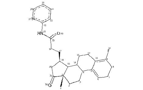 C[C@]12CCC3C4=CCCC(F)=C4CCC3C1[C@H](CCC(=O)Nc1ccccn1)CC2=O